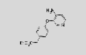 CCOC(=O)Cc1ccc(Oc2cnccc2N)cc1